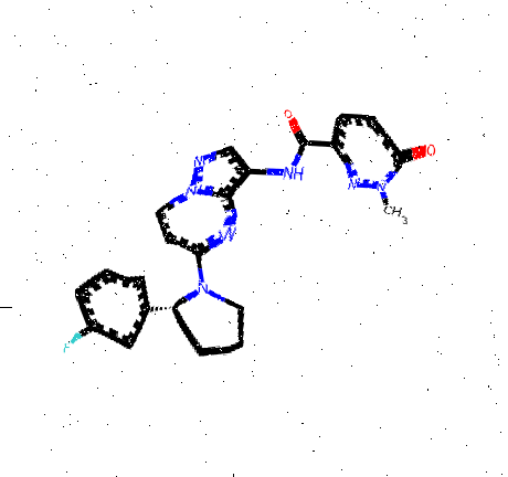 Cn1nc(C(=O)Nc2cnn3ccc(N4CCC[C@@H]4c4cccc(F)c4)nc23)ccc1=O